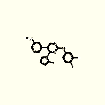 Cc1nccn1-c1nc(Nc2ccc(F)c(Cl)c2)ncc1-c1cncc(C(=O)O)c1